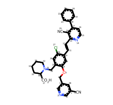 N#Cc1cncc(COc2cc(/C=C/c3nccc(-c4ccccc4)c3C#N)c(Cl)cc2CN2CCCCC2C(=O)O)c1